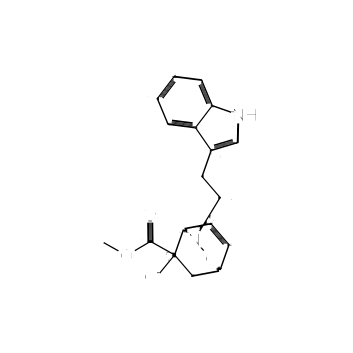 COC(=O)C1(Cl)CC2C=CC1N(CCc1c[nH]c3ccccc13)C2